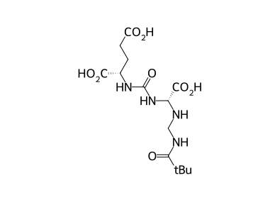 CC(C)(C)C(=O)NCN[C@H](NC(=O)N[C@@H](CCC(=O)O)C(=O)O)C(=O)O